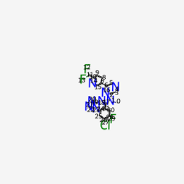 CN(c1cncc(-c2ccc(C(F)F)nc2)n1)c1nc2nncn2c2cc(Cl)c(F)cc12